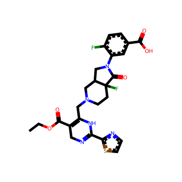 CCOC(=O)C1=C(CN2CCC3(F)C(=O)N(c4cc(C(=O)O)ccc4F)CC3C2)NC(c2nccs2)=NC1